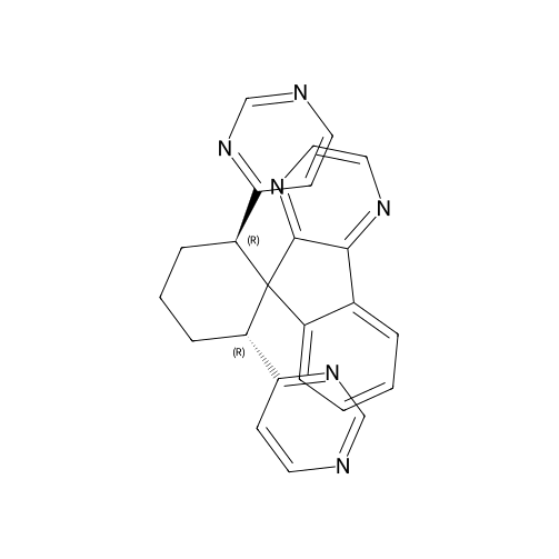 c1ccc2c(c1)-c1nccnc1C21[C@H](c2ccncn2)CCC[C@H]1c1ccncn1